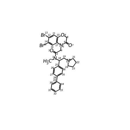 CN(C(=O)CN1C(=O)COc2cc(Br)c(Br)cc21)C(CN1CCCC1)c1ccc(-c2ccccc2)cc1